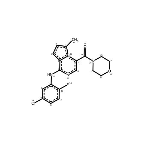 Cc1ccc2c(Nc3cc(Cl)ccc3F)ncc(C(=O)N3CCOCC3)n12